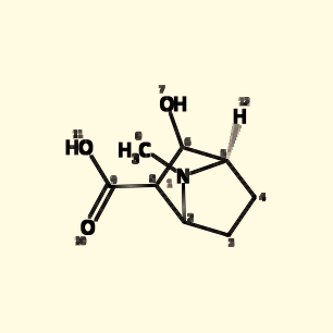 CN1C2CC[C@@H]1C(O)C2C(=O)O